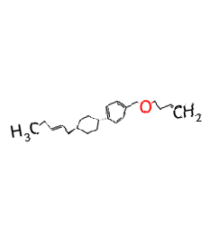 C=CCCOCc1ccc([C@H]2CC[C@H](CC=CCC)CC2)cc1